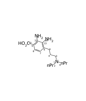 CCCN(CCC)CCCc1ccc(C(=O)O)c(N)c1N